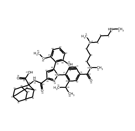 CNCCCN(C)CCCN(C)C(=O)c1c#cc(-n2nc(C(=O)NC3(C(=O)O)C4CC5CC(C4)CC3C5)cc2-c2c(O)cccc2OC)c(C(C)C)c1